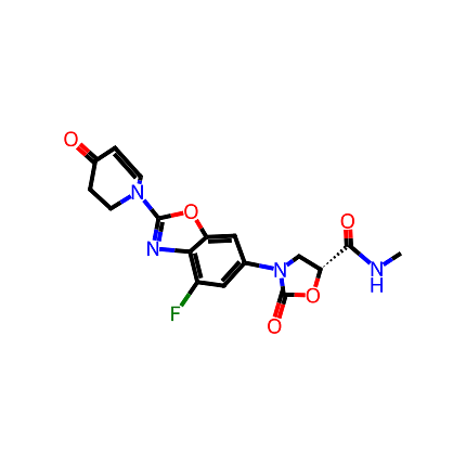 CNC(=O)[C@H]1CN(c2cc(F)c3nc(N4C=CC(=O)CC4)oc3c2)C(=O)O1